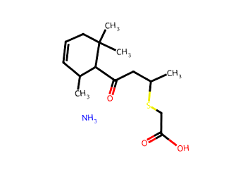 CC(CC(=O)C1C(C)C=CCC1(C)C)SCC(=O)O.N